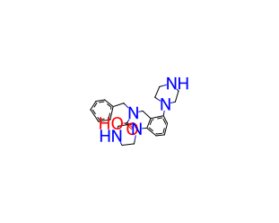 O=C(O)N(Cc1ccccc1)Cc1c(N2CCNCC2)cccc1N1CCNCC1